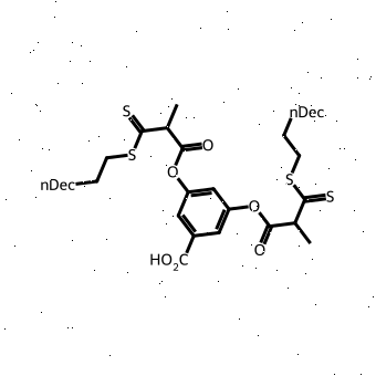 CCCCCCCCCCCCSC(=S)C(C)C(=O)Oc1cc(OC(=O)C(C)C(=S)SCCCCCCCCCCCC)cc(C(=O)O)c1